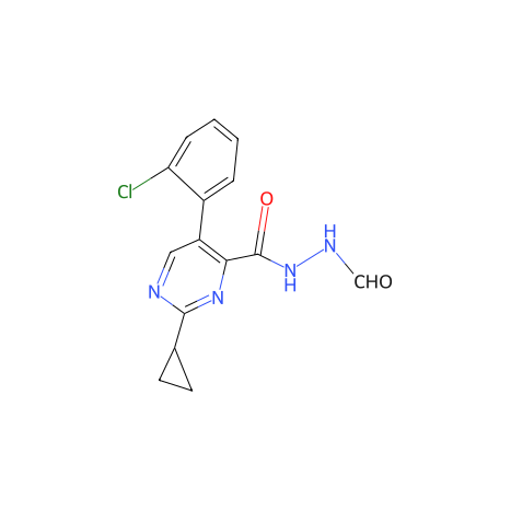 O=CNNC(=O)c1nc(C2CC2)ncc1-c1ccccc1Cl